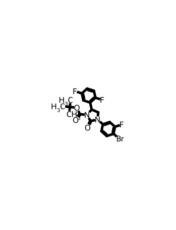 CC(C)(C)OC(=O)N1C(=O)N(c2ccc(Br)c(F)c2)CC1c1cc(F)ccc1F